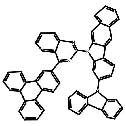 c1ccc2cc3c(cc2c1)c1ccc(-n2c4ccccc4c4ccccc42)cc1n3-c1nc(-c2ccc3c4ccccc4c4ccccc4c3c2)c2ccccc2n1